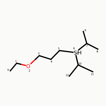 CCOCCC[SiH](C(C)C)C(C)C